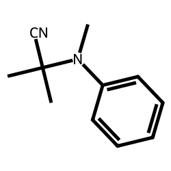 CN(c1ccccc1)C(C)(C)C#N